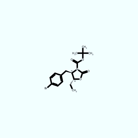 CC[C@H]1OC(=O)N(C(=O)OC(C)(C)C)[C@@H]1Cc1ccc(Br)cc1